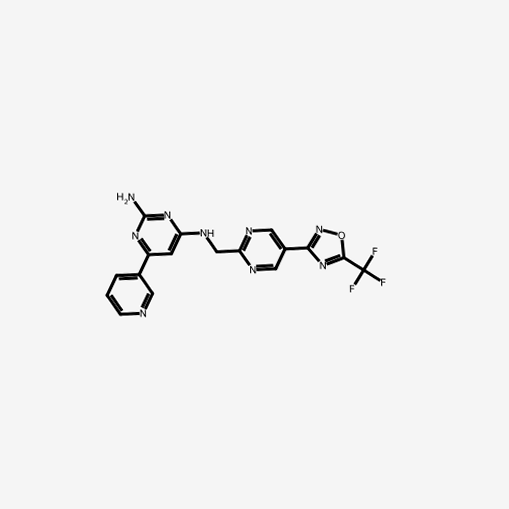 Nc1nc(NCc2ncc(-c3noc(C(F)(F)F)n3)cn2)cc(-c2cccnc2)n1